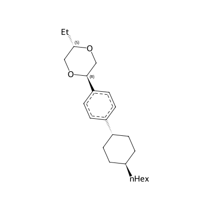 CCCCCC[C@H]1CC[C@H](c2ccc([C@@H]3CO[C@@H](CC)CO3)cc2)CC1